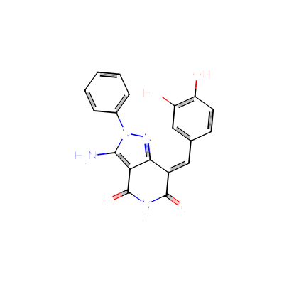 Nc1c2c(nn1-c1ccccc1)/C(=C\c1ccc(O)c(O)c1)C(=O)NC2=O